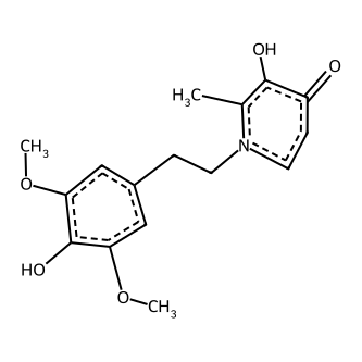 COc1cc(CCn2ccc(=O)c(O)c2C)cc(OC)c1O